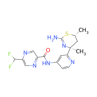 C[C@@H]1C[C@@](C)(c2cc(NC(=O)c3cnc(C(F)F)cn3)ccn2)N=C(N)S1